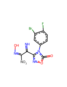 N=C(/C(=N\O)[N+](=O)[O-])c1noc(=O)n1-c1ccc(F)c(Br)c1